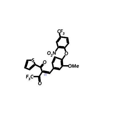 COc1cc(/C=C(\C(=O)c2cccs2)C(=O)C(F)(F)F)ccc1Oc1ccc(C(F)(F)F)cc1[N+](=O)[O-]